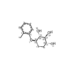 Cc1ncccc1O[C@@H]1SC[C@@H](O)[C@H](O)[C@H]1O